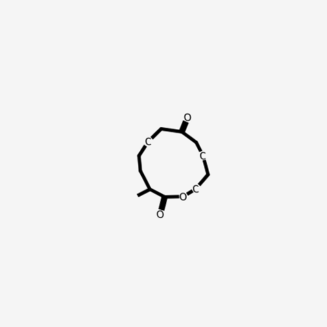 CC1CCCCC(=O)CCCCOC1=O